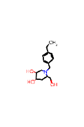 CCc1ccc(CN2C[C@H](O)[C@@H](O)CC2CO)cc1